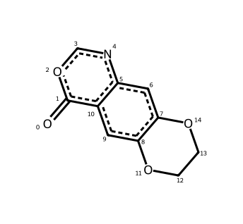 O=c1ocnc2cc3c(cc12)OCCO3